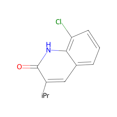 CC(C)c1cc2cccc(Cl)c2[nH]c1=O